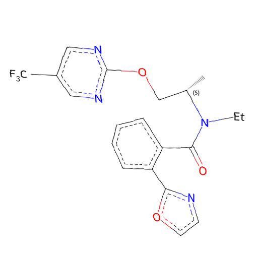 CCN(C(=O)c1ccccc1-c1ncco1)[C@@H](C)COc1ncc(C(F)(F)F)cn1